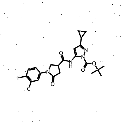 CC(C)(C)OC(=O)n1nc(C2CC2)cc1NC(=O)C1CC(=O)N(c2ccc(F)c(Cl)c2)C1